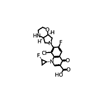 O=C(O)c1cn([C@@H]2C[C@@H]2F)c2c(Cl)c(N3C[C@@H]4OCCN[C@@H]4C3)c(F)cc2c1=O